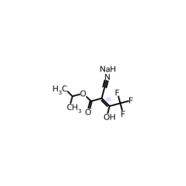 CC(C)OC(=O)/C(C#N)=C(\O)C(F)(F)F.[NaH]